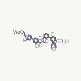 COCCN1CC2CC[C@@H]1CN2c1cc(Cl)c(C(=O)N2COc3c(cccc3-c3cc(N4C5CCC4COC5)c(C(=O)O)cc3F)C2)c(Cl)c1